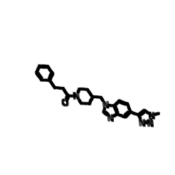 Cn1cc(-c2ccc3c(c2)ncn3CC2CCN(C(=O)CCc3ccccc3)CC2)nn1